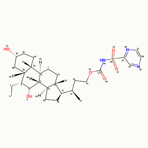 CC[C@H]1[C@@H](O)[C@@H]2[C@H](CC[C@]3(C)[C@@H]([C@H](C)CCOC(=O)NS(=O)(=O)c4cnccn4)CC[C@@H]23)[C@@]2(C)CC[C@@H](O)C[C@@H]12